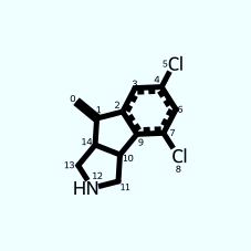 C=C1c2cc(Cl)cc(Cl)c2C2CNCC12